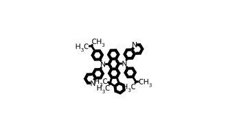 CC(C)c1ccc(N(c2ccc3ncccc3c2)c2c3ccccc3c(N(c3ccc(C(C)C)cc3)c3ccc4ncccc4c3)c3cc4c(cc23)-c2ccccc2C4(C)C)cc1